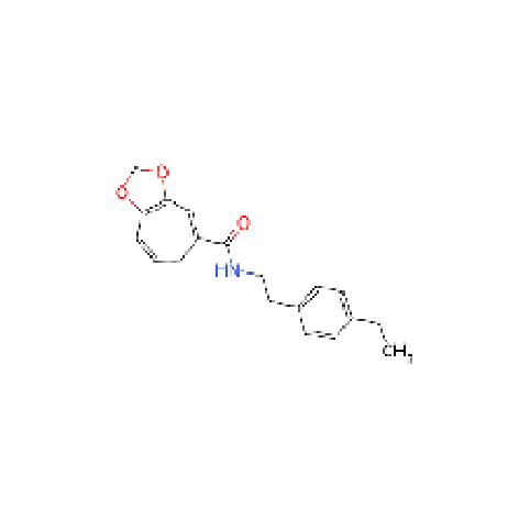 CCc1ccc(CCNC(=O)C2=CC3=C(C=CC2)OCO3)cc1